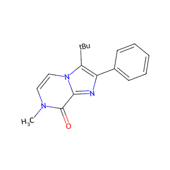 Cn1ccn2c(C(C)(C)C)c(-c3ccccc3)nc2c1=O